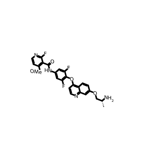 COc1ccnc(F)c1C(=O)Nc1cc(F)c(Oc2ccnc3cc(OC[C@@H](C)N)ccc23)c(F)c1